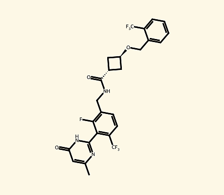 Cc1cc(=O)[nH]c(-c2c(C(F)(F)F)ccc(CNC(=O)[C@H]3C[C@H](OCc4ccccc4C(F)(F)F)C3)c2F)n1